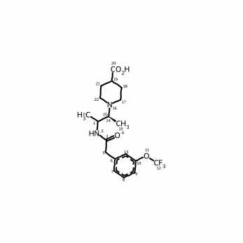 CC(NC(=O)Cc1cccc(OC(F)(F)F)c1)[C@H](C)N1CCC(C(=O)O)CC1